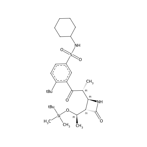 C[C@@H](O[Si](C)(C)C(C)(C)C)[C@H]1C(=O)N[C@@H]1[C@@H](C)C(=O)c1cc(S(=O)(=O)NC2CCCCC2)ccc1C(C)(C)C